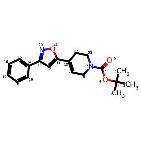 CC(C)(C)OC(=O)N1CC=C(c2cc(-c3ccccc3)no2)CC1